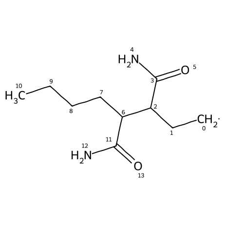 [CH2]CC(C(N)=O)C(CCCC)C(N)=O